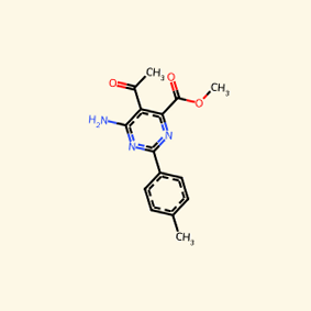 COC(=O)c1nc(-c2ccc(C)cc2)nc(N)c1C(C)=O